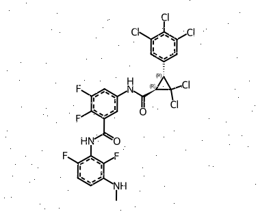 CNc1ccc(F)c(NC(=O)c2cc(NC(=O)[C@H]3[C@H](c4cc(Cl)c(Cl)c(Cl)c4)C3(Cl)Cl)cc(F)c2F)c1F